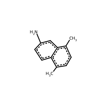 Cc1ccc(C)c2cc(N)ccc12